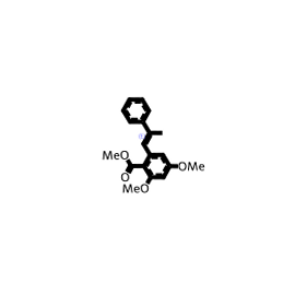 COC(=O)c1c(/C=C(\C)c2ccccc2)cc(OC)cc1OC